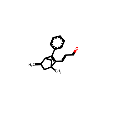 C=C1CC2(C)CC1C(c1ccccc1)=C2/C=C/C=O